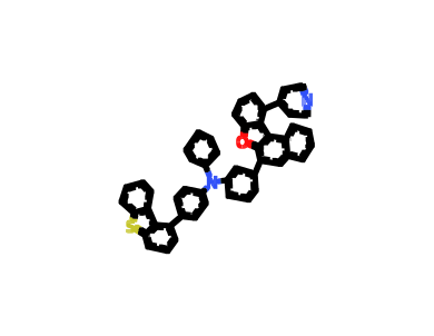 c1ccc(N(c2ccc(-c3cccc4sc5ccccc5c34)cc2)c2cccc(-c3cc4ccccc4c4c3oc3cccc(-c5ccncc5)c34)c2)cc1